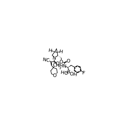 CC1(/C=C(/C#N)C(=O)N2C[C@@H]3C[C@@H]3[C@@H]2COC(=O)N[C@@H](Cc2ccc(F)cc2)B(O)O)CCOCC1